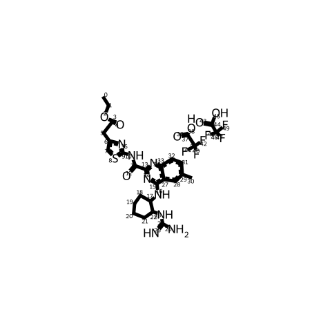 CCOC(=O)Cc1csc(NC(=O)c2nc(NC3CCCCC3NC(=N)N)c3cc(C)ccc3n2)n1.O=C(O)C(F)(F)F.O=C(O)C(F)(F)F